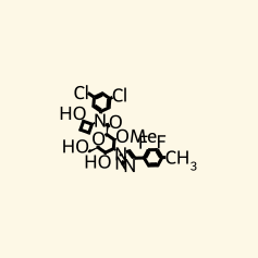 CO[C@@H]1[C@@H](n2cc(-c3ccc(C)c(F)c3F)nn2)[C@@H](O)[C@@H](CO)O[C@H]1C(=O)N(c1cc(Cl)cc(Cl)c1)[C@H]1CC[C@@H]1O